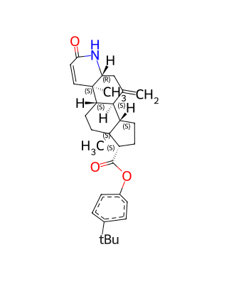 C=C1C[C@H]2NC(=O)C=C[C@]2(C)[C@H]2CC[C@]3(C)[C@@H](C(=O)Oc4ccc(C(C)(C)C)cc4)CC[C@H]3[C@H]12